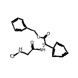 O=C(CNCl)N[C@H](C(=O)OCc1ccccc1)c1ccccc1